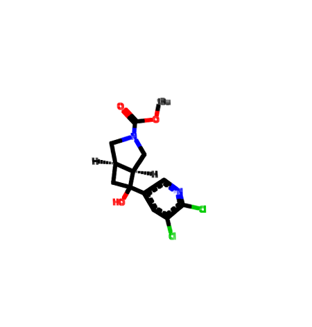 CC(C)(C)OC(=O)N1C[C@@H]2CC(O)(c3cnc(Cl)c(Cl)c3)[C@@H]2C1